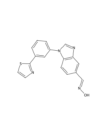 ON=Cc1ccc2c(c1)ncn2-c1cccc(-c2nccs2)c1